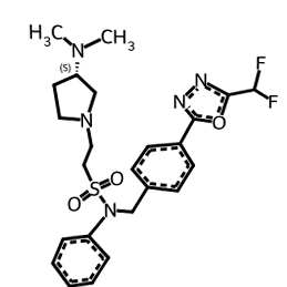 CN(C)[C@H]1CCN(CCS(=O)(=O)N(Cc2ccc(-c3nnc(C(F)F)o3)cc2)c2ccccc2)C1